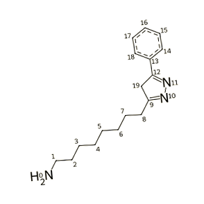 NCCCCCCCCC1=NN=C(c2ccccc2)C1